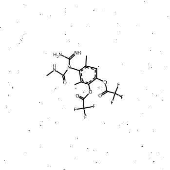 CNC(=O)N(C(=N)N)c1c(C)cc(OC(=O)C(F)(F)F)c(OC(=O)C(F)(F)F)c1C